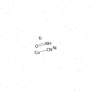 N#[C][Co].[Ni].[O]=[AlH].[Ti]